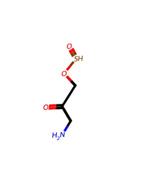 NCC(=O)CO[SH]=O